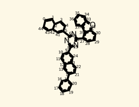 C1=CC2C=CC(c3nc(-c4ccc5cc(-c6ccccc6)ccc5c4)nc(-c4cccc5oc6ccccc6c45)n3)=CC2C=C1